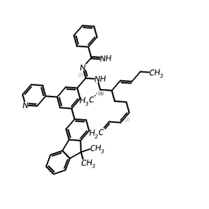 C=C/C=C\CCC(C=CCC)[C@H](C)N/C(=N\C(=N)c1ccccc1)c1cc(-c2cccnc2)cc(-c2ccc3c(c2)-c2ccccc2C3(C)C)c1